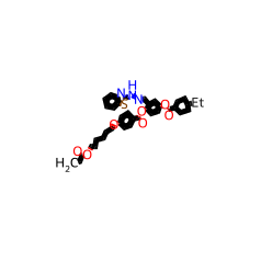 C=CC(=O)OCCCCCCOc1ccc(C(=O)Oc2ccc(OC(=O)C3CCC(CC)CC3)cc2C=NNc2nc3ccccc3s2)cc1